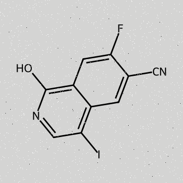 N#Cc1cc2c(I)cnc(O)c2cc1F